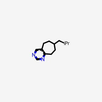 CC(C)CC1CCc2cncnc2CC1